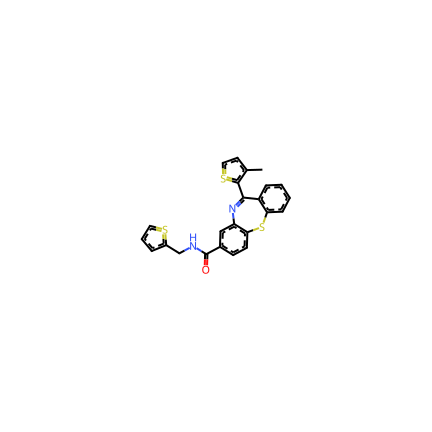 Cc1ccsc1C1=Nc2cc(C(=O)NCc3cccs3)ccc2Sc2ccccc21